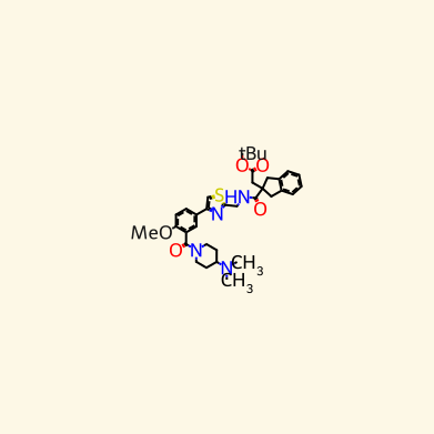 COc1ccc(-c2csc(CNC(=O)C3(CC(=O)OC(C)(C)C)Cc4ccccc4C3)n2)cc1C(=O)N1CCC(N(C)C)CC1